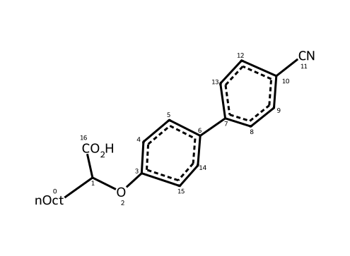 CCCCCCCCC(Oc1ccc(-c2ccc(C#N)cc2)cc1)C(=O)O